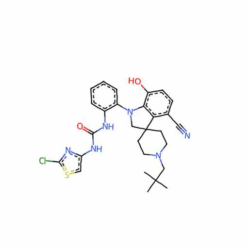 CC(C)(C)CN1CCC2(CC1)CN(c1ccccc1NC(=O)Nc1csc(Cl)n1)c1c(O)ccc(C#N)c12